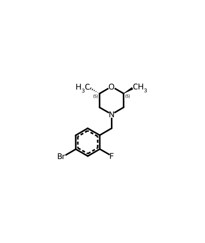 C[C@H]1CN(Cc2ccc(Br)cc2F)C[C@H](C)O1